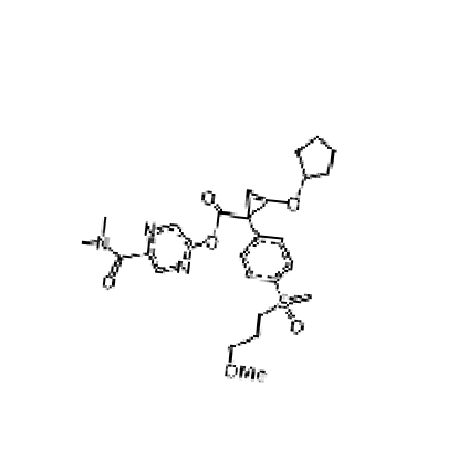 C=S(=O)(CCCOC)c1ccc(C2(C(=O)Oc3cnc(C(=O)N(C)C)cn3)C=C2OC2CCCC2)cc1